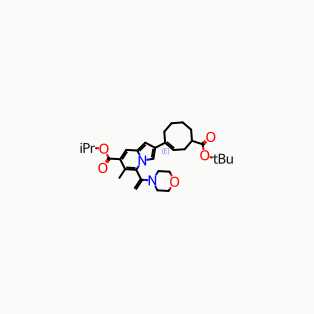 C=C(c1c(C)c(C(=O)OC(C)C)cc2cc(/C3=C/CC(C(=O)OC(C)(C)C)CCCC3)cn12)N1CCOCC1